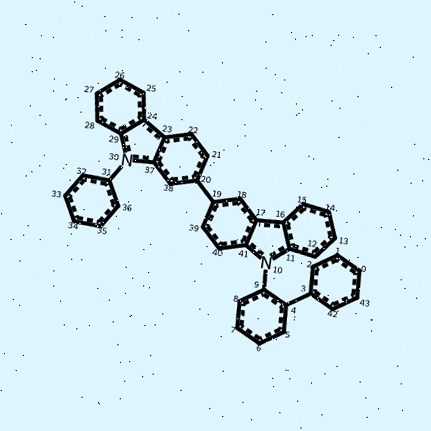 c1ccc(-c2ccccc2-n2c3ccccc3c3cc(-c4ccc5c6ccccc6n(-c6ccccc6)c5c4)ccc32)cc1